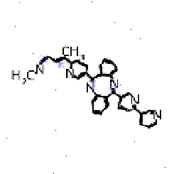 C=N/C=C\C=C(/C)c1ccc(/C2=N/c3ccccc3/C(c3ccc(-c4cccnc4)nc3)=N\c3ccccc32)cn1